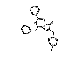 C=c1c(Cc2ccc(C)cc2)nc2n1C=C(c1ccccc1)NC=2Cc1ccccc1